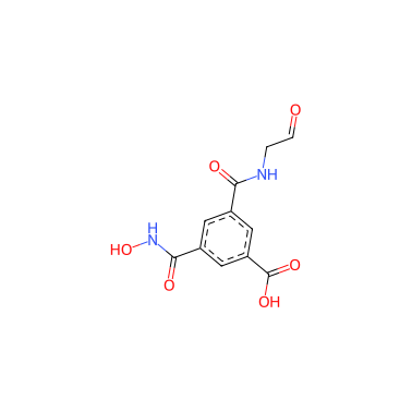 O=CCNC(=O)c1cc(C(=O)O)cc(C(=O)NO)c1